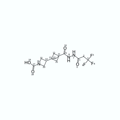 O=C(CC(F)(F)F)NNC(=O)C12CC(C3CN(C(=O)O)C3)(C1)C2